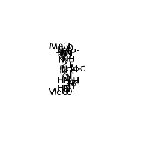 COC(=O)NCC(=O)N1[C@H](c2nc3cc([C@H]4CC[C@H](c5ccc6[nH]c([C@@H]7C[C@@H]8CCC[C@@H]8N7C(=O)C(NC(=O)OC)C(C)C)nc6c5)N4c4cc(F)c(N5CCC(c6ccccc6)CC5)c(F)c4)ccc3[nH]2)C[C@@H]2CCC[C@@H]21